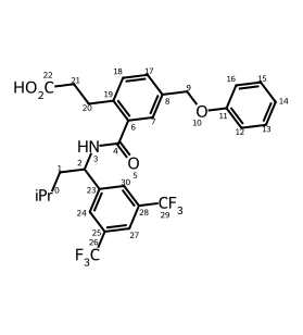 CC(C)CC(NC(=O)c1cc(COc2ccccc2)ccc1CCC(=O)O)c1cc(C(F)(F)F)cc(C(F)(F)F)c1